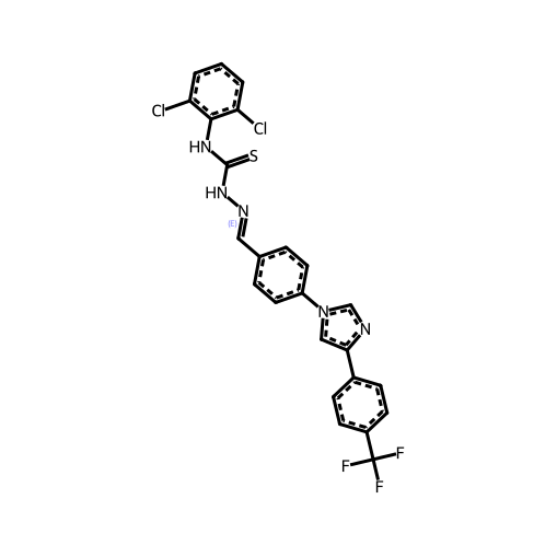 FC(F)(F)c1ccc(-c2cn(-c3ccc(/C=N/NC(=S)Nc4c(Cl)cccc4Cl)cc3)cn2)cc1